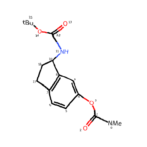 CNC(=O)Oc1ccc2c(c1)C(NC(=O)OC(C)(C)C)CC2